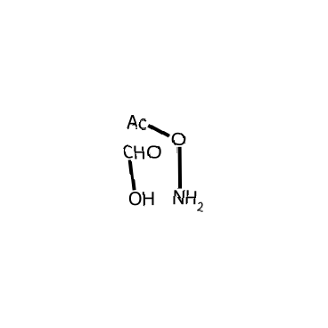 CC(=O)ON.O=CO